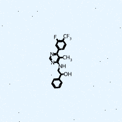 Cc1c(NCC(O)c2ccccc2)ncnc1-c1ccc(C(F)(F)F)c(F)c1